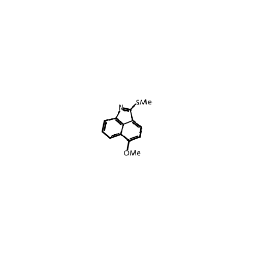 COc1ccc2c3c(cccc13)N=C2SC